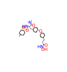 Cc1ccc(S(=O)(=O)NC(Cc2ccc(Oc3ccc(CCC(=O)NO)cc3)cc2)C(=O)N(C)C)cc1